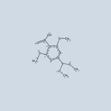 COc1cc(C(OC)OC)cc(OC)c1C(=O)O